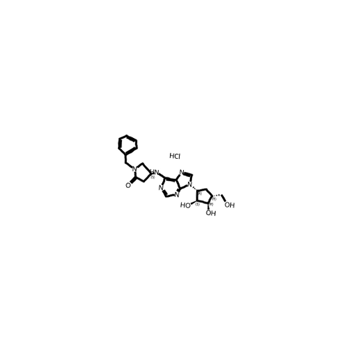 Cl.O=C1C[C@H](Nc2ncnc3c2ncn3[C@@H]2C[C@H](CO)[C@@H](O)[C@H]2O)CN1Cc1ccccc1